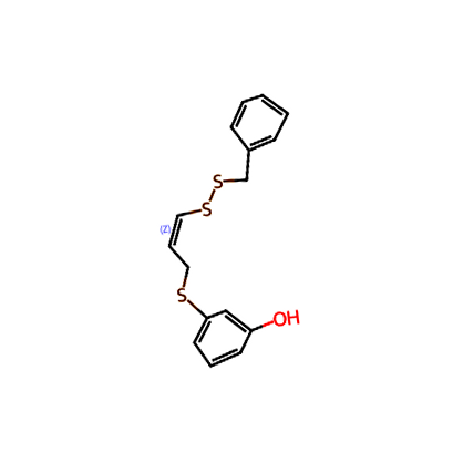 Oc1cccc(SC/C=C\SSCc2ccccc2)c1